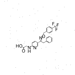 O=C(O)CNc1ccc(C(Cc2ccccc2)=NOCc2ccc(C(F)(F)F)cc2)cn1